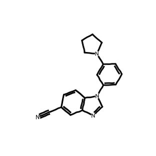 N#Cc1ccc2c(c1)ncn2-c1cccc(N2CCCC2)c1